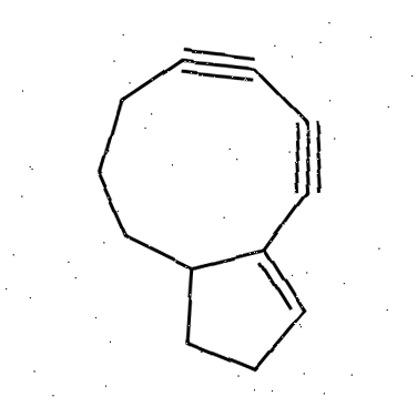 C1#CCCCC2CCC=C2C#C1